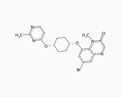 Cc1nccc(O[C@H]2CC[C@@H](Oc3cc(Br)cc4ncc(=O)n(C)c34)CC2)n1